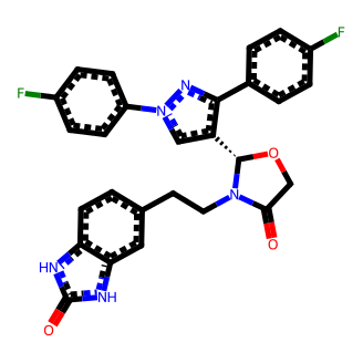 O=C1CO[C@@H](c2cn(-c3ccc(F)cc3)nc2-c2ccc(F)cc2)N1CCc1ccc2[nH]c(=O)[nH]c2c1